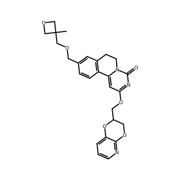 CC1(COCc2ccc3c(c2)CCn2c-3cc(OCC3COc4ncccc4O3)nc2=O)COC1